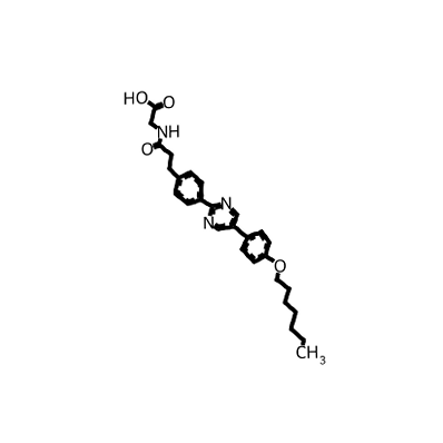 CCCCCCCOc1ccc(-c2cnc(-c3ccc(CCC(=O)NCC(=O)O)cc3)nc2)cc1